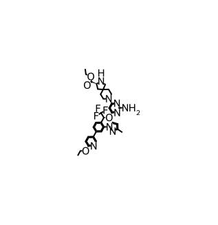 CCOC(=O)[C@@H]1CC2(CCN(c3cc(O[C@H](c4ccc(-c5ccc(OCC)nc5)cc4-n4ccc(C)n4)C(F)(F)F)nc(N)n3)CC2)CN1